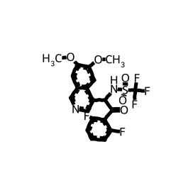 COc1cc2cncc(C(NS(=O)(=O)C(F)(F)F)C(=O)c3c(F)cccc3F)c2cc1OC